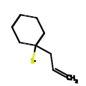 C=CCC1([S])CCCCC1